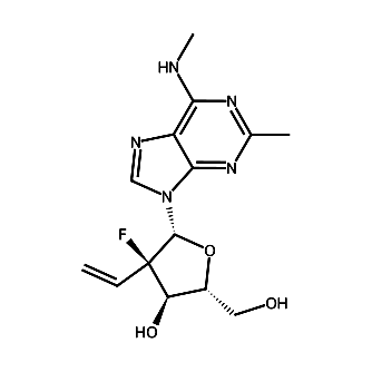 C=C[C@@]1(F)[C@H](O)[C@@H](CO)O[C@H]1n1cnc2c(NC)nc(C)nc21